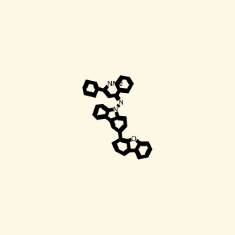 CN/C(=C\C(=N/n1c2ccccc2c2cc(-c3cccc4c3oc3ccccc34)ccc21)c1ccccc1)c1ccccc1